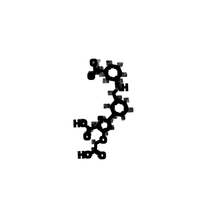 O=C(O)COc1cc(-c2cccc(CNc3cccc([N+](=O)[O-])c3)c2)sc1C(=O)O